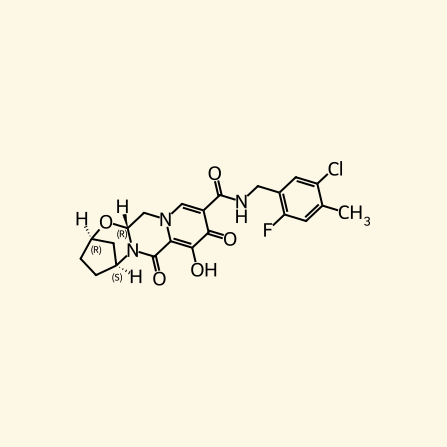 Cc1cc(F)c(CNC(=O)c2cn3c(c(O)c2=O)C(=O)N2[C@H]4CC[C@H](C4)O[C@@H]2C3)cc1Cl